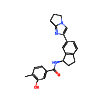 Cc1ccc(C(=O)N[C@@H]2CCc3ccc(-c4cn5c(n4)CCC5)cc32)cc1O